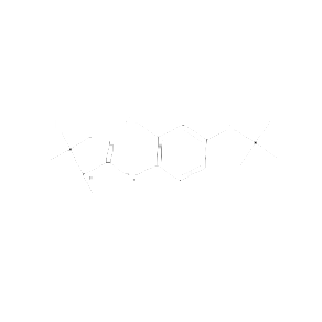 CC(C)(C)Sc1ccc(NC(=O)[C@@](C)(O)C(F)(F)F)c(Cl)c1